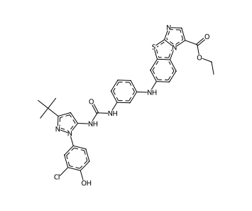 CCOC(=O)c1cnc2sc3cc(Nc4cccc(NC(=O)Nc5cc(C(C)(C)C)nn5-c5ccc(O)c(Cl)c5)c4)ccc3n12